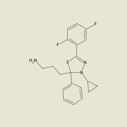 NCCCC1(c2ccccc2)SC(c2cc(F)ccc2F)=NN1C1CC1